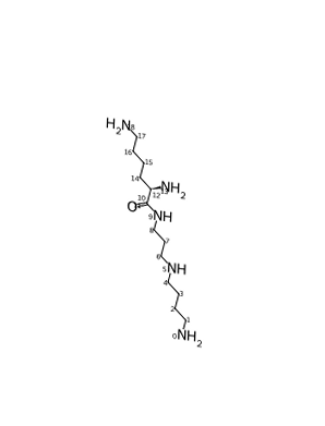 NCCCCNCCCNC(=O)[C@H](N)CCCCN